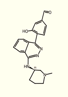 CN1CCC[C@@H](Nc2nnc(-c3ccc(C=O)cc3O)c3ccccc23)C1